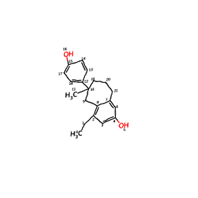 CCc1cc(O)cc2c1CC(C)(c1ccc(O)cc1)CCC2